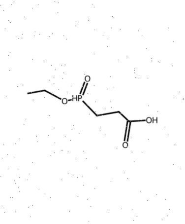 CCO[PH](=O)CCC(=O)O